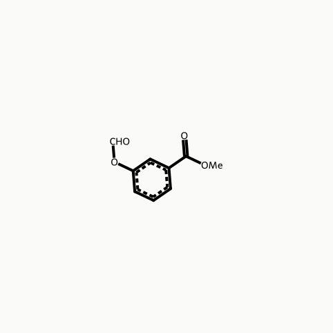 COC(=O)c1cccc(OC=O)c1